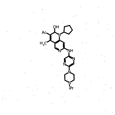 CC(=O)C1=C(C)c2cnc(Nc3cnc(N4CCN(C(C)C)CC4)cn3)cc2N(C2CCCC2)C1O